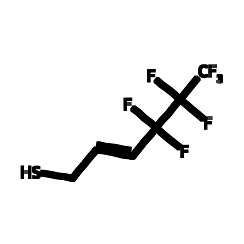 FC(F)(F)C(F)(F)C(F)(F)C=CCS